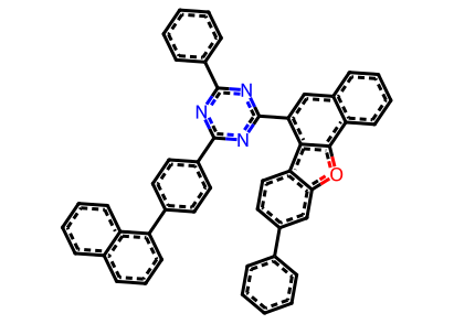 c1ccc(-c2ccc3c(c2)oc2c4ccccc4cc(-c4nc(-c5ccccc5)nc(-c5ccc(-c6cccc7ccccc67)cc5)n4)c32)cc1